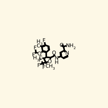 Cc1c(F)ccc(C2C(C(=O)Nc3ccnc(C(N)=O)c3)OC(C)(C(F)(F)F)C2C)c1OC(F)F